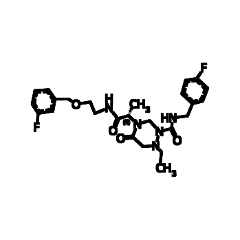 CCN1CC(=O)N([C@@H](C)C(=O)NCCOCc2cccc(F)c2)CN1C(=O)NCc1ccc(F)cc1